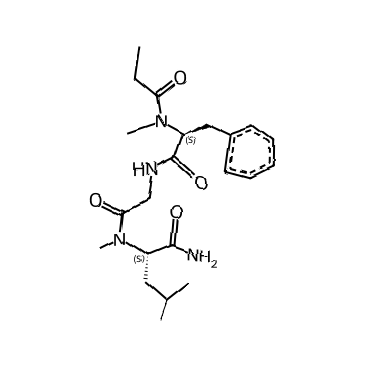 CCC(=O)N(C)[C@@H](Cc1ccccc1)C(=O)NCC(=O)N(C)[C@@H](CC(C)C)C(N)=O